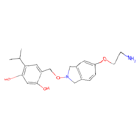 CC(C)c1cc(CON2Cc3ccc(OCCN)cc3C2)c(O)cc1O